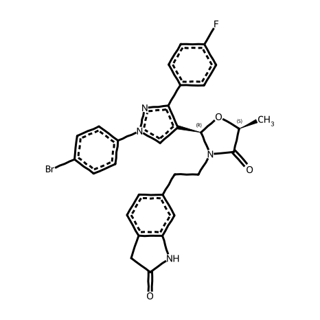 C[C@@H]1O[C@H](c2cn(-c3ccc(Br)cc3)nc2-c2ccc(F)cc2)N(CCc2ccc3c(c2)NC(=O)C3)C1=O